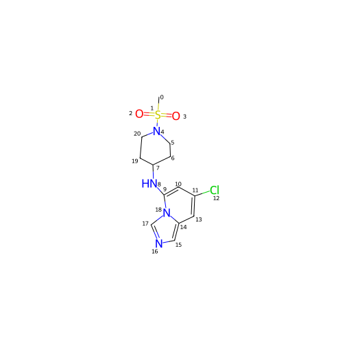 CS(=O)(=O)N1CCC(Nc2cc(Cl)cc3cncn23)CC1